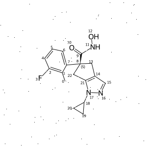 Cc1c(F)cccc1[C@]1(C(=O)NO)Cc2cnn(C3CC3)c2C1